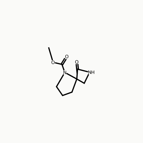 COC(=O)N1CCCC12CNC2=O